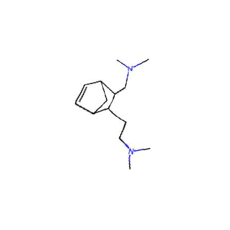 CN(C)CCC1C2C=CC(C2)C1CN(C)C